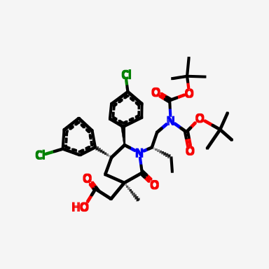 CC[C@@H](CN(C(=O)OC(C)(C)C)C(=O)OC(C)(C)C)N1C(=O)[C@@](C)(CC(=O)O)C[C@H](c2cccc(Cl)c2)[C@H]1c1ccc(Cl)cc1